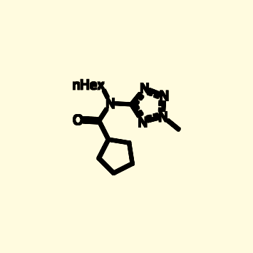 CCCCCCN(C(=O)C1CCCC1)c1nnn(C)n1